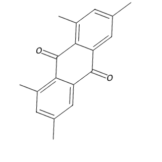 Cc1cc(C)c2c(c1)C(=O)c1cc(C)cc(C)c1C2=O